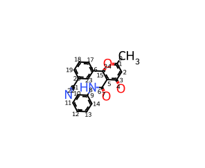 Cc1cc(=O)c(C(=O)Nc2ccccc2)c(-c2cccc(C#N)c2)o1